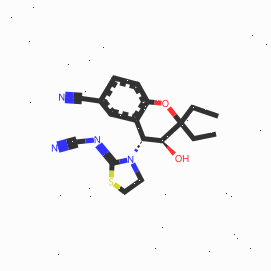 CCC1(CC)Oc2ccc(C#N)cc2[C@@H](N2CCSC2=NC#N)[C@@H]1O